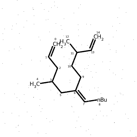 C=CCC(C)CC(=CCCCC)CCC(C)C=C